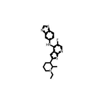 CCN1CCCC(c2cc3c(Nc4ccc5scnc5c4)c(F)cnc3s2)C1C